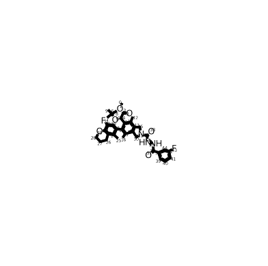 COC(=O)[C@@H](OC(C)(C)C)c1c(C)c2c(c(C)c1-c1cc(F)c3c(c1C)CCCO3)CN(C(=O)NNC(=O)c1cccc(F)c1)C2